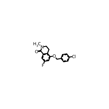 CN1CCc2c(OCc3ccc(Cl)cc3)cc(F)cc2C1=O